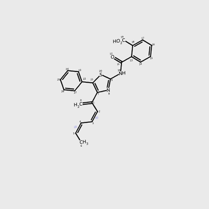 C=C(/C=C\C=C/C)c1nc(NC(=O)c2ccccc2C(=O)O)sc1-c1ccccc1